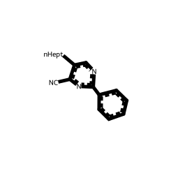 CCCCCCCc1cnc(-c2ccccc2)nc1C#N